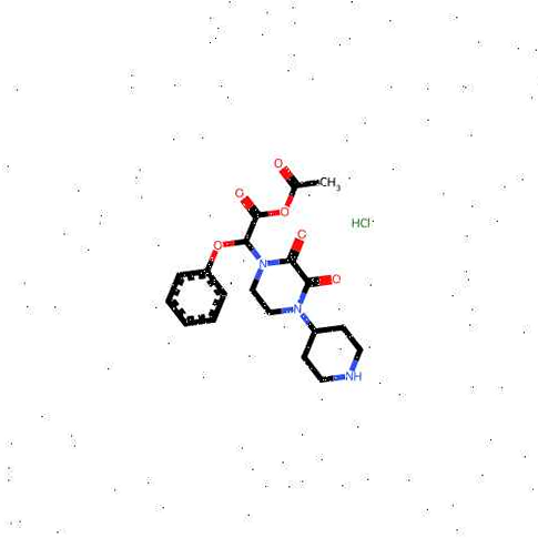 CC(=O)OC(=O)C(Oc1ccccc1)N1CCN(C2CCNCC2)C(=O)C1=O.Cl